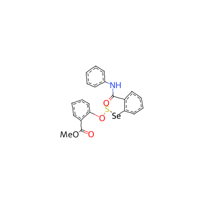 COC(=O)c1ccccc1OS[Se]c1ccccc1C(=O)Nc1ccccc1